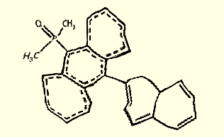 CP(C)(=O)c1c2ccccc2c(C2=CC=C3C=CC=CC3C2)c2ccccc12